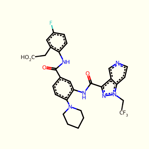 O=C(O)Cc1cc(F)ccc1NC(=O)c1ccc(N2CCCCC2)c(NC(=O)c2nn(CC(F)(F)F)c3ccncc23)c1